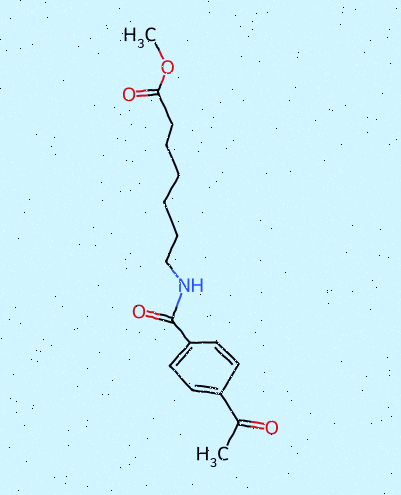 COC(=O)CCCCCCNC(=O)c1ccc(C(C)=O)cc1